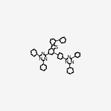 c1ccc(-c2nc(-c3ccccc3)nc(-c3ccc(-c4cc(-c5nc(-c6ccccc6)nc(-c6ccccc6)n5)cc5c4sc4c(-c6ccccc6)cccc45)cc3)n2)cc1